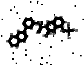 O=C(Nc1cccc(-c2ccc3c(c2)OCCO3)c1)c1cc2cccc(OC(F)(F)F)c2oc1=O